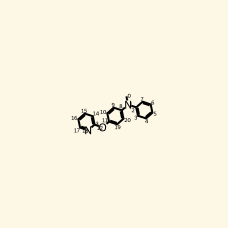 CN(c1ccccc1)c1ccc(Oc2ccccn2)cc1